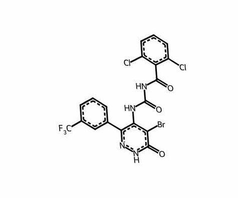 O=C(NC(=O)c1c(Cl)cccc1Cl)Nc1c(-c2cccc(C(F)(F)F)c2)n[nH]c(=O)c1Br